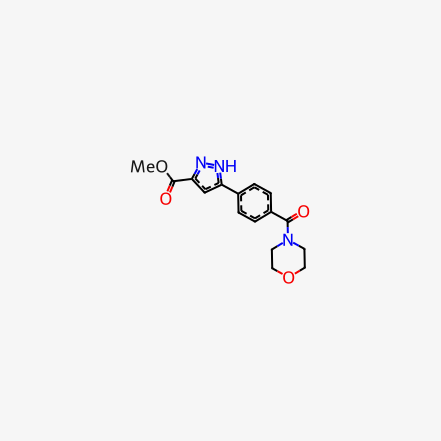 COC(=O)c1cc(-c2ccc(C(=O)N3CCOCC3)cc2)[nH]n1